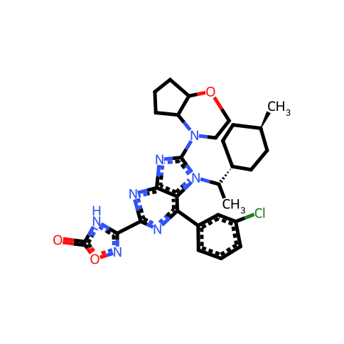 CC([C@H]1CC[C@H](C)CC1)n1c(N2CCOC3CCCC32)nc2nc(-c3noc(=O)[nH]3)nc(-c3cccc(Cl)c3)c21